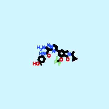 CC(C1CC1)N1Cc2cc(-c3ccn4nc(N)c(C(=O)N[C@H]5CC[C@@](C)(O)CC5)c4n3)cc(OC(F)(F)F)c2C1=O